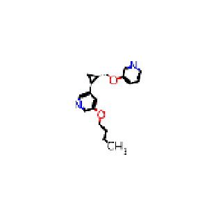 CCCCOc1cncc([C@H]2C[C@@H]2COc2cccnc2)c1